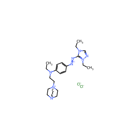 CCN(CC[N+]12CCN(CC1)CC2)c1ccc(/N=N/c2n(CC)cn[n+]2CC)cc1.[Cl-].[Cl-]